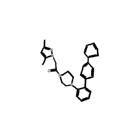 Cc1cc(C)n(CC(=O)N2CCN(c3ccccc3-c3ccc(-c4ccccc4)cc3)CC2)n1